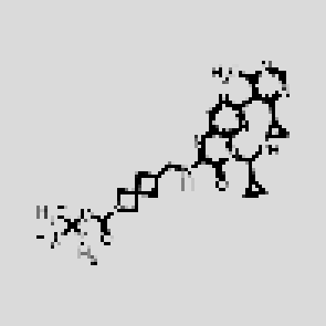 Cc1ncnc(C2CC2)c1-c1ncc2nc(NCC3CC4(C3)CN(C(=O)OC(C)(C)C)C4)c(=O)n(C(C)C3CC3)c2n1